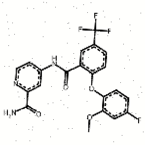 COc1cc(F)ccc1Oc1ccc(C(F)(F)F)cc1C(=O)Nc1ccnc(C(N)=O)c1